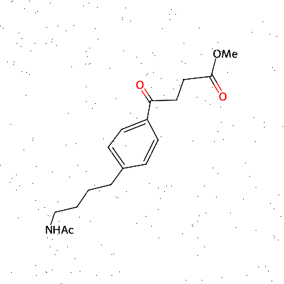 COC(=O)CCC(=O)c1ccc(CCCCNC(C)=O)cc1